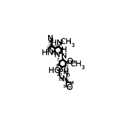 CNc1cc(Nc2ccc([PH]3(O)CCN(C4COC4)CC3)cc2OC)nc2[nH]cc(C#N)c12